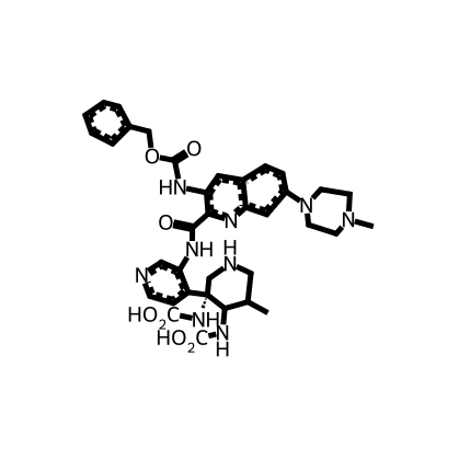 CC1CNC[C@](NC(=O)O)(c2ccncc2NC(=O)c2nc3cc(N4CCN(C)CC4)ccc3cc2NC(=O)OCc2ccccc2)C1NC(=O)O